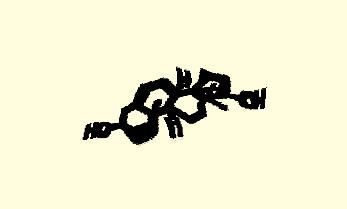 C[C@]12CC[C@H]3[C@@H](CC=C4C[C@H](O)C=C[C@@]43C)[C@@H]1CC[C@@H]2O